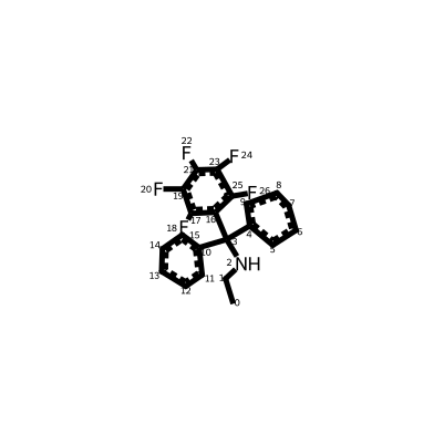 CCNC(c1ccccc1)(c1ccccc1)c1c(F)c(F)c(F)c(F)c1F